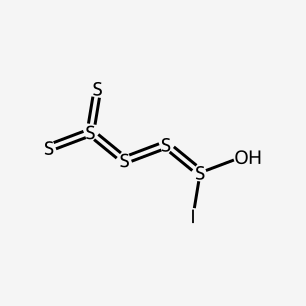 OS(I)=S=S=S(=S)=S